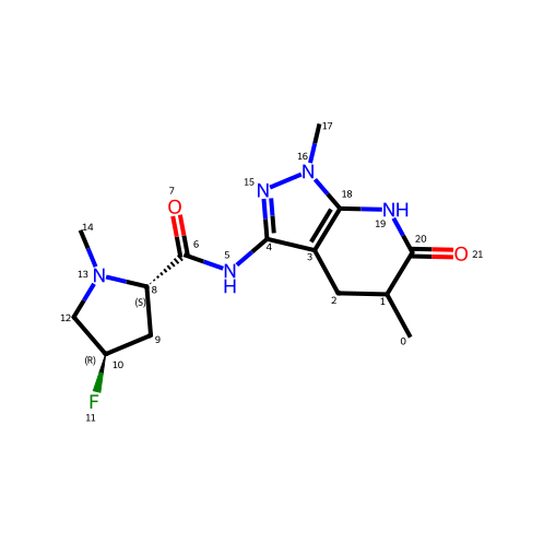 CC1Cc2c(NC(=O)[C@@H]3C[C@@H](F)CN3C)nn(C)c2NC1=O